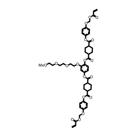 C=CC(=O)OCOc1ccc(OC(=O)C2CCC(C(=O)Oc3ccc(OC(=O)C4CCC(C(=O)Oc5ccc(OCOC(=O)C=C)cc5)CC4)c(OCCOCCOCCOC)c3)CC2)cc1